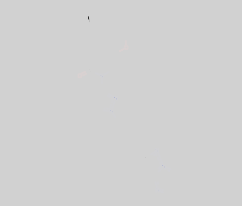 CCOCCN(c1nn(-c2ccc(-c3cc4ncccn4n3)cc2)cc1C(=O)O)C(=O)[C@H]1CC[C@H](C)CC1